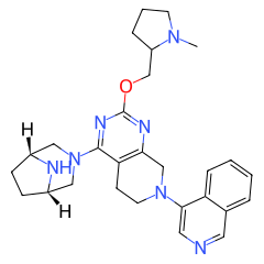 CN1CCCC1COc1nc2c(c(N3C[C@H]4CC[C@@H](C3)N4)n1)CCN(c1cncc3ccccc13)C2